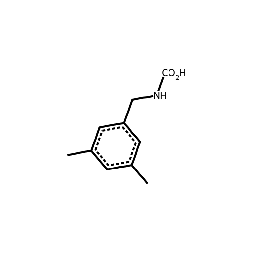 Cc1cc(C)cc(CNC(=O)O)c1